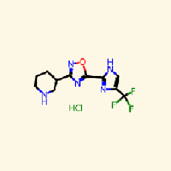 Cl.FC(F)(F)c1c[nH]c(-c2nc(C3CCCNC3)no2)n1